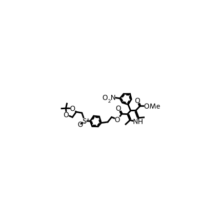 COC(=O)C1=C(C)NC(C)=C(C(=O)OCCc2ccc([S+]([O-])CC3COC(C)(C)O3)cc2)C1c1cccc([N+](=O)[O-])c1